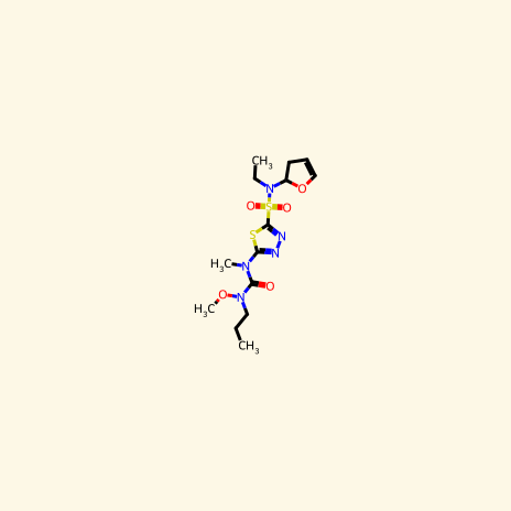 CCCN(OC)C(=O)N(C)c1nnc(S(=O)(=O)N(CC)C2CC=CO2)s1